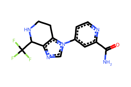 NC(=O)c1cc(-n2cnc3c2CCNC3C(F)(F)F)ccn1